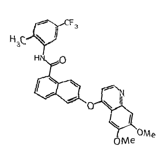 COc1cc2nccc(Oc3ccc4c(C(=O)Nc5cc(C(F)(F)F)ccc5C)cccc4c3)c2cc1OC